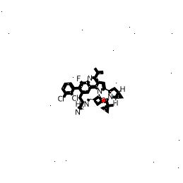 C=C(C)c1nc2c(F)c(-c3cccc(Cl)c3Cl)c(CCC#N)cc2c2c1cc([C@H]1C[C@H]3C[C@H]3N1C(=O)C1(C)CC1)n2[C@H]1[C@@H](CN)C[C@@H]1C